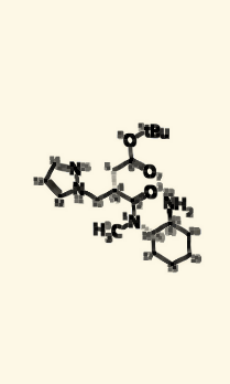 CN(C(=O)[C@@H](CC(=O)OC(C)(C)C)Cn1cccn1)[C@H]1CCCC[C@@H]1N